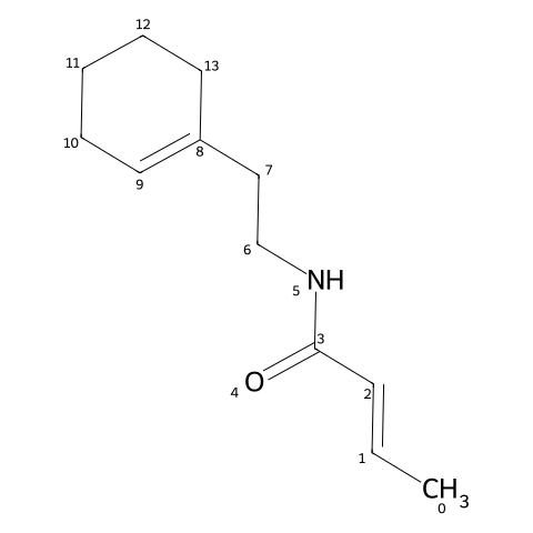 C/C=C/C(=O)NCCC1=CCCCC1